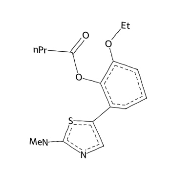 CCCC(=O)Oc1c(OCC)cccc1-c1cnc(NC)s1